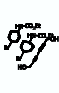 CCOC(=O)Nc1ccc(Br)cc1.CCOC(=O)Nc1ccc(Br)cc1.OCC#CC#CCO